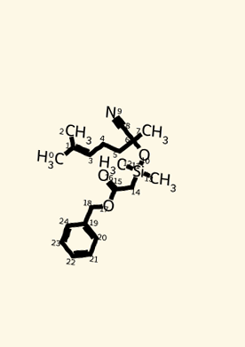 CC(C)=CCCC(C)(C#N)O[Si](C)(C)CC(=O)OCc1ccccc1